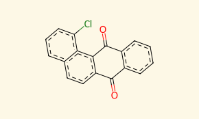 O=C1c2ccccc2C(=O)c2c1ccc1cccc(Cl)c21